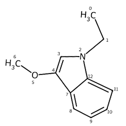 CCn1cc(OC)c2ccccc21